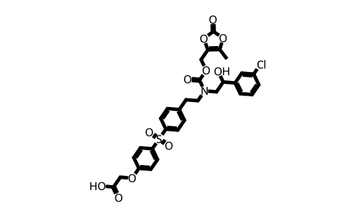 Cc1oc(=O)oc1COC(=O)N(CCc1ccc(S(=O)(=O)c2ccc(OCC(=O)O)cc2)cc1)CC(O)c1cccc(Cl)c1